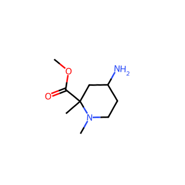 COC(=O)C1(C)CC(N)CCN1C